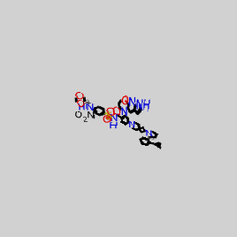 O=C(NS(=O)(=O)c1ccc(NC[C@H]2COCCO2)c([N+](=O)[O-])c1)c1ccc(N2CCC3(CC2)CC(N2CCC[C@@H]2c2ccccc2C2CC2)C3)cc1N1CCCOc2nc3[nH]ccc3cc21